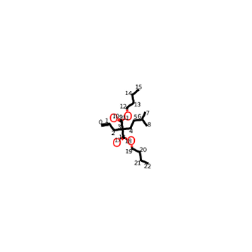 C=CCC(CCC(C)C)(C(=O)OCCCC)C(=O)OCCCC